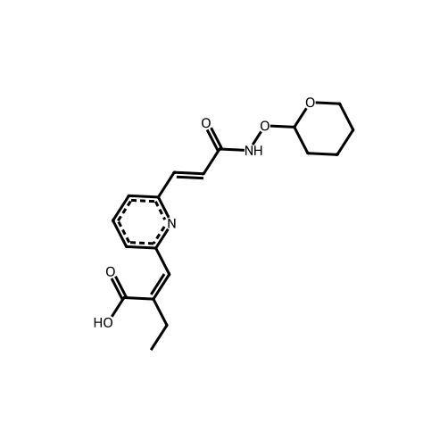 CCC(=Cc1cccc(C=CC(=O)NOC2CCCCO2)n1)C(=O)O